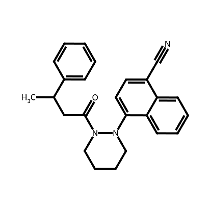 CC(CC(=O)N1CCCCN1c1ccc(C#N)c2ccccc12)c1ccccc1